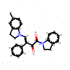 Cc1ccc2c(c1)CCN2/C=C(/C(=O)C(=O)N1CCc2ccccc21)c1ccccc1